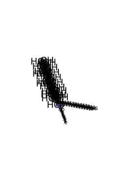 CCCCCCCCCCCCC/C=C/[C@@H](O)[C@H](CO[C@@H]1OC(CO)[C@@H](O[C@@H]2OC(CO)[C@H](O[C@@H]3OC(CO)[C@H](O)[C@H](O[C@H]4OC(CO)[C@H](O)[C@H](O[C@H]5OC(CO)[C@H](O)[C@H](O[C@H]6OC(CO)[C@H](O)[C@H](O[C@H]7OC(CO)[C@H](O)[C@H](O[C@H]8OC(CO)[C@H](O)[C@H](O)C8O)C7O)C6O)C5O)C4O)C3O)[C@H](O)C2O)[C@H](O)C1O)NC(=O)CCCCCCCCCCCCCCCCCCCCCCCCC